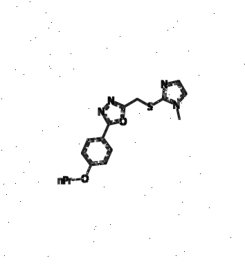 [CH2]CCOc1ccc(-c2nnc(CSc3nccn3C)o2)cc1